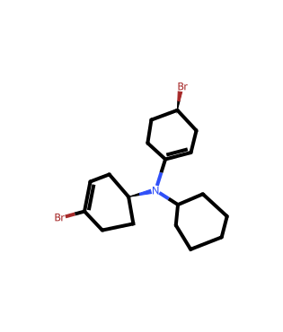 BrC1=CC[C@@H](N(C2=CC[C@H](Br)CC2)C2CCCCC2)CC1